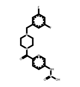 O=C(c1ccc(NS(=O)O)cn1)N1CCN(Cc2cc(F)cc(F)c2)CC1